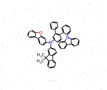 CC1(C)c2ccccc2-c2ccc(N(c3ccc(-c4ccccc4-n4c5ccccc5c5ccccc54)c(-c4ccccc4)c3)c3ccc4c(c3)oc3ccccc34)cc21